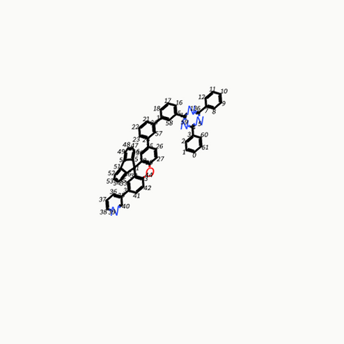 c1ccc(-c2nc(-c3ccccc3)nc(-c3cccc(-c4cccc(-c5ccc6c(c5)C5(c7cc(-c8cccnc8)ccc7O6)c6ccccc6-c6ccccc65)c4)c3)n2)cc1